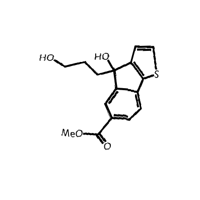 COC(=O)c1ccc2c(c1)C(O)(CCCO)c1ccsc1-2